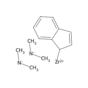 C[N-]C.C[N-]C.[Zr+2][CH]1C=Cc2ccccc21